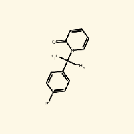 CC(C)(c1ccc(Br)cc1)n1ccccc1=O